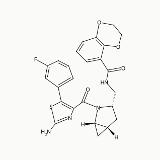 Nc1nc(C(=O)N2[C@H](CNC(=O)c3cccc4c3OCCO4)C[C@@H]3C[C@@H]32)c(-c2cccc(F)c2)s1